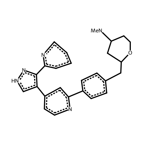 CNC1CCOC(Cc2ccc(-c3cc(-c4c[nH]nc4-c4ccccn4)ccn3)cc2)C1